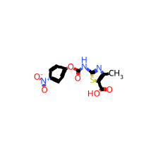 Cc1nc(NC(=O)Oc2ccc([N+](=O)[O-])cc2)sc1C(=O)O